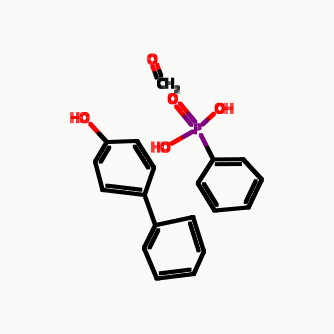 C=O.O=P(O)(O)c1ccccc1.Oc1ccc(-c2ccccc2)cc1